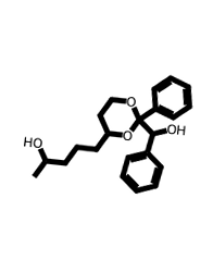 CC(O)CCCC1CCOC(c2ccccc2)(C(O)c2ccccc2)O1